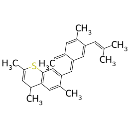 C/C=c1/cc(C)c(C=C(C)C)c/c1=C/c1cc2c(cc1C)C(C)C=C(C)S2